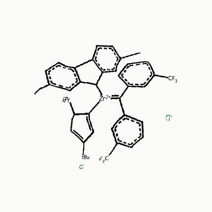 Cc1ccc2c(c1)[CH]([Zr+2]([C]1=CC(C(C)(C)C)=CC1C(C)C)=[C](c1cccc(C(F)(F)F)c1)c1cccc(C(F)(F)F)c1)c1cc(C)ccc1-2.[Cl-].[Cl-]